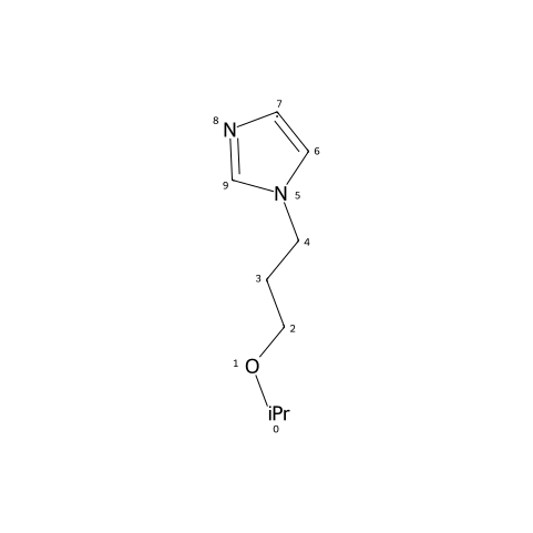 CC(C)OCCCn1c[c]nc1